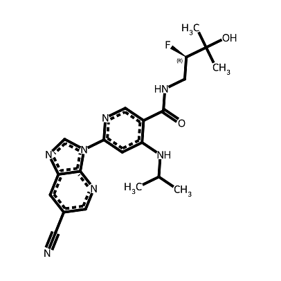 CC(C)Nc1cc(-n2cnc3cc(C#N)cnc32)ncc1C(=O)NC[C@@H](F)C(C)(C)O